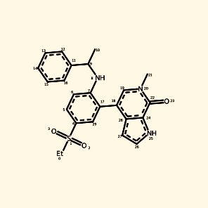 CCS(=O)(=O)c1ccc(NC(C)c2ccccc2)c(-c2cn(C)c(=O)c3[nH]ccc23)c1